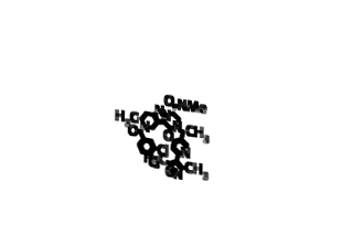 CNC(=O)[C@@H]1CN([C@H](C)c2ccc(-c3c(C)noc3C)nc2)C(=O)c2c3c(nn21)C[C@@H](C)N(C(=O)c1ccc(Cl)c(Cl)c1)C3